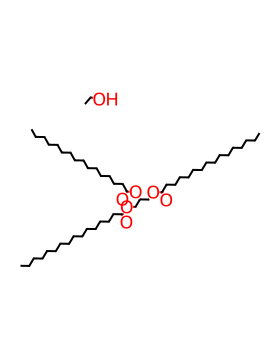 CCCCCCCCCCCCCCCC(=O)OCC(COC(=O)CCCCCCCCCCCCCCC)OC(=O)CCCCCCCCCCCCCCC.CCO